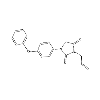 C=CCN1C(=O)CN(c2ccc(Oc3ccccc3)cc2)C1=S